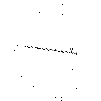 CCCCCC=CCCCCCC=CCC=CCCC(=O)O